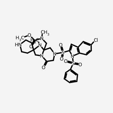 COC(=O)N(C)CC12CN(S(=O)(=O)c3cc4cc(Cl)ccc4n3S(=O)(=O)c3ccccc3)CC(=O)N1CC1(CCNCC1)N2C